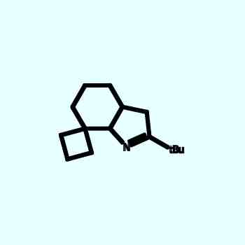 CC(C)(C)C1=NC2C(CCCC23CCC3)C1